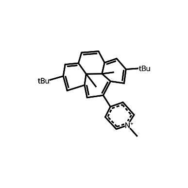 C[n+]1ccc(C2=C3C=C(C(C)(C)C)C=C4C=CC5=CC(C(C)(C)C)=CC(=C2)C5(C)C43C)cc1